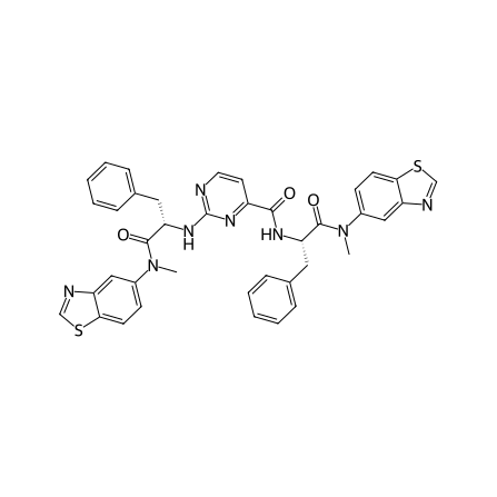 CN(C(=O)[C@H](Cc1ccccc1)NC(=O)c1ccnc(N[C@@H](Cc2ccccc2)C(=O)N(C)c2ccc3scnc3c2)n1)c1ccc2scnc2c1